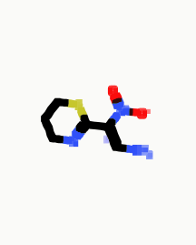 N/C=C(/C1=NCCCS1)[N+](=O)[O-]